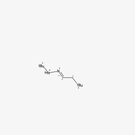 CC(C)(C)C/C=N/NC(C)(C)C